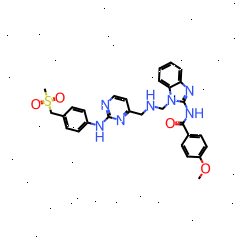 COc1ccc(C(=O)Nc2nc3ccccc3n2CNCc2ccnc(Nc3ccc(CS(C)(=O)=O)cc3)n2)cc1